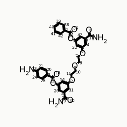 NC(=O)c1cc(OCCOCCOc2cc(OC(=O)c3ccc(N)cc3)cc(C(N)=O)c2)cc(OC(=O)c2ccccc2)c1